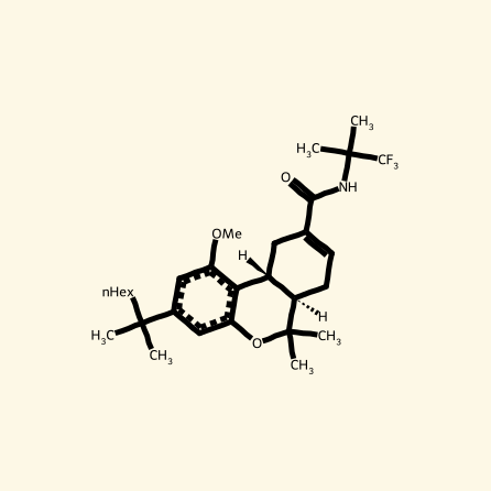 CCCCCCC(C)(C)c1cc(OC)c2c(c1)OC(C)(C)[C@@H]1CC=C(C(=O)NC(C)(C)C(F)(F)F)C[C@@H]21